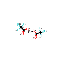 O=C([O][Ge][O]C(=O)C(F)(F)F)C(F)(F)F